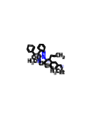 C=C=C/C(=C(/C=C)N/C(=C(/C(=C)c1ccccc1)c1ccccc1)N(C)C)c1ccc(C)c(/C=C\CC)c1